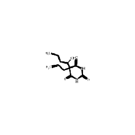 C=CCC1([C@H](C)CCC)C(=O)NC(=O)NC1=O